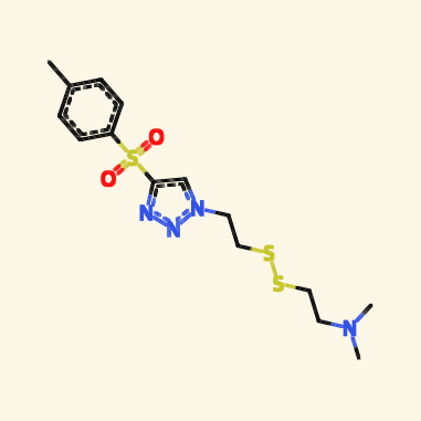 Cc1ccc(S(=O)(=O)c2cn(CCSSCCN(C)C)nn2)cc1